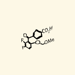 COCOc1ccc(F)c(F)c1C(=O)c1ccc(C(=O)O)cc1